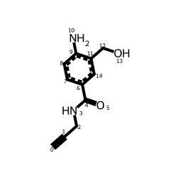 C#CCNC(=O)c1ccc(N)c(CO)c1